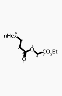 CCCCCCCCC(=O)OCC(=O)OCC